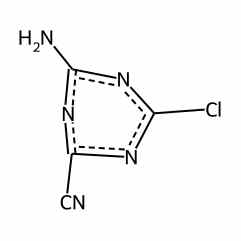 N#Cc1nc(N)nc(Cl)n1